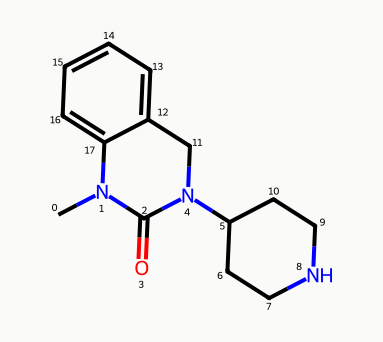 CN1C(=O)N(C2CCNCC2)Cc2ccccc21